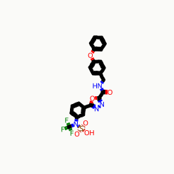 O=C(NCc1ccc(Oc2ccccc2)cc1)c1nnc(-c2cccc(N(C(F)(F)F)S(=O)(=O)O)c2)o1